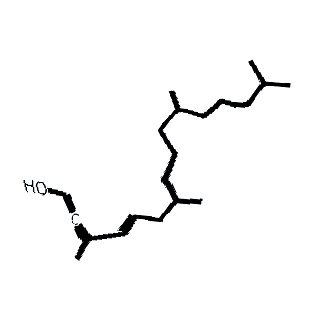 CC(=C=CO)C=CCC(C)CCCC(C)CCCC(C)C